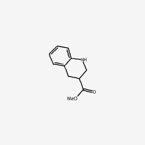 COC(=O)C1CNc2ccccc2C1